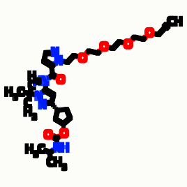 C#CCOCCOCCOCCOCCn1nccc1C(=O)Nc1cc([C@@H]2CC[C@H](OC(=O)NC(C)C)C2)nn1C(C)(C)C